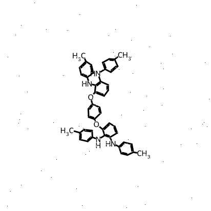 Cc1ccc(Nc2cccc(Oc3ccc(Oc4cccc(Nc5ccc(C)cc5)c4Nc4ccc(C)cc4)cc3)c2Nc2ccc(C)cc2)cc1